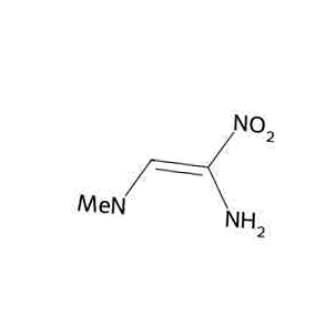 CNC=C(N)[N+](=O)[O-]